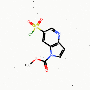 CC(C)(C)OC(=O)n1ccc2ncc(S(=O)(=O)Cl)cc21